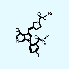 CC(C)N(C)C(=O)c1cc(F)ccc1-n1cc(/C=C2\CCN(C(=O)OC(C)(C)C)C2)c2c(Cl)cncc21